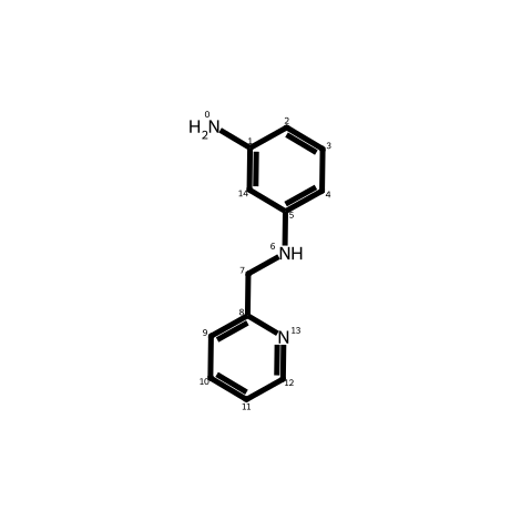 Nc1cccc(NCc2ccccn2)c1